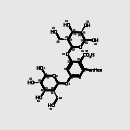 CCCCCCc1cc(OC2O[C@H](O)[C@@H](O)[C@H](O)[C@H]2CO)cc(OC2O[C@H](O)[C@@H](O)[C@H](O)[C@H]2CO)c1C(=O)O